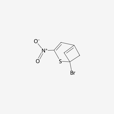 O=[N+]([O-])C1=CC2=CC(Br)(C2)S1